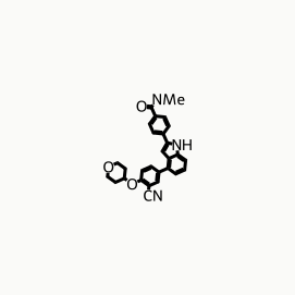 CNC(=O)c1ccc(-c2cc3c(-c4ccc(OC5CCOCC5)c(C#N)c4)cccc3[nH]2)cc1